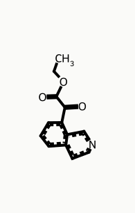 CCOC(=O)C(=O)c1cccc2ccncc12